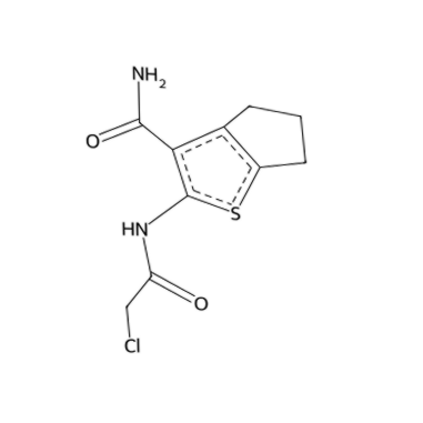 NC(=O)c1c(NC(=O)CCl)sc2c1CCC2